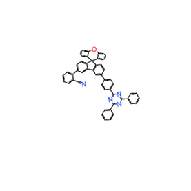 N#Cc1ccccc1-c1ccc2c(c1)-c1cc(-c3ccc(-c4nc(-c5ccccc5)nc(-c5ccccc5)n4)cc3)ccc1C21c2ccccc2Oc2ccccc21